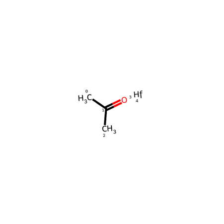 CC(C)=O.[Hf]